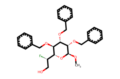 CO[C@H]1O[C@H]([C@@H](F)CO)[C@@H](OCc2ccccc2)[C@H](OCc2ccccc2)[C@@H]1OCc1ccccc1